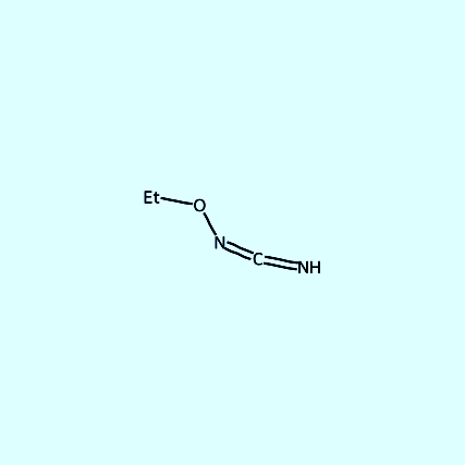 CCON=C=N